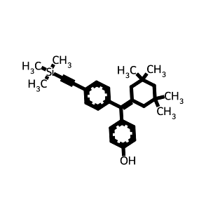 CC1(C)CC(=C(c2ccc(O)cc2)c2ccc(C#C[Si](C)(C)C)cc2)CC(C)(C)C1